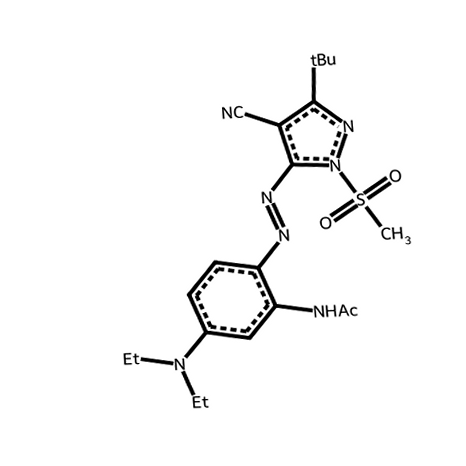 CCN(CC)c1ccc(/N=N/c2c(C#N)c(C(C)(C)C)nn2S(C)(=O)=O)c(NC(C)=O)c1